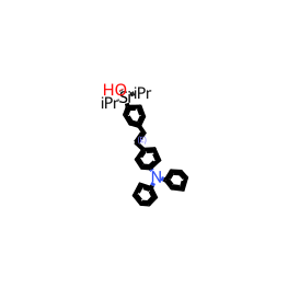 CC(C)[Si](O)(c1ccc(/C=C/c2ccc(N(c3ccccc3)c3ccccc3)cc2)cc1)C(C)C